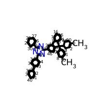 CC1=CCC(C2(c3ccc(C)cc3)c3ccccc3-c3cc(-c4nc(-c5ccccc5)nc(-c5ccc(-c6ccccc6)cc5)n4)ccc32)C=C1